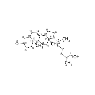 CC(CO)CCCC(C)[C@H]1CCC2C3=CCC4CC(=O)CC[C@]4(C)C3CC[C@@]21C